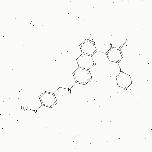 COc1ccc(CNc2ccc3c(c2)Cc2cccc(-c4cc(N5CCOCC5)cc(=O)[nH]4)c2O3)cc1